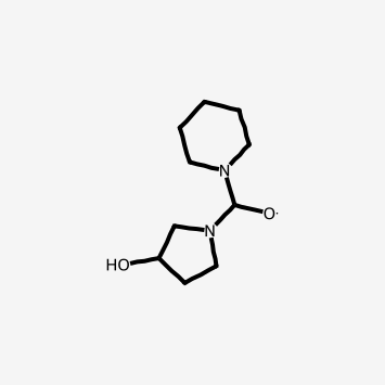 [O]C(N1CCCCC1)N1CCC(O)C1